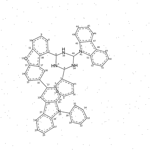 c1ccc(C2NC(c3cccc4oc5ccc(-c6ccc7c(c6)c6ccccc6n7-c6ccccc6)cc5c34)NC(n3c4ccccc4c4ccccc43)N2)cc1